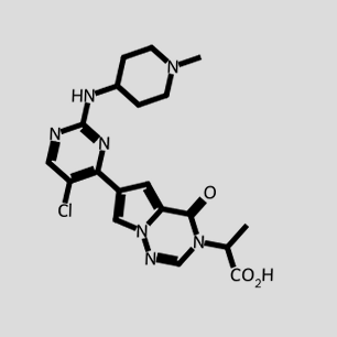 CC(C(=O)O)n1cnn2cc(-c3nc(NC4CCN(C)CC4)ncc3Cl)cc2c1=O